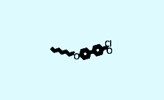 CCCCCCCOc1ccc(-c2ccc(C(=O)Cl)cc2)cc1